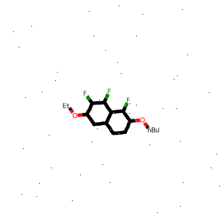 CCCCOC1CCC2CC(OCC)C(F)C(F)C2C1F